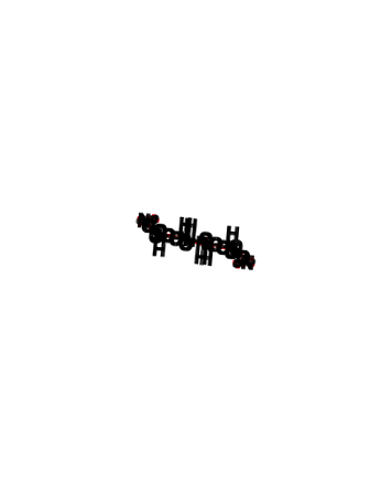 O=C(NCCCCNC(=O)NCCOCCOCCNS(=O)(=O)c1ccc(O[C@H]2c3ccccc3C[C@@H]2N2CCCCC2)cc1)NCCOCCOCCNS(=O)(=O)c1ccc(O[C@H]2c3ccccc3CC2N2CCCCC2)cc1